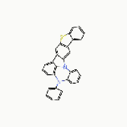 c1ccc(N2c3ccccc3-n3c4cc5c(cc4c4cccc2c43)sc2ccccc25)cc1